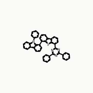 c1ccc(-c2nc(-c3ccccc3)nc(-c3cccc4c3sc3c(-c5cccc6c7ccccc7n(-c7ccccc7)c56)cccc34)n2)cc1